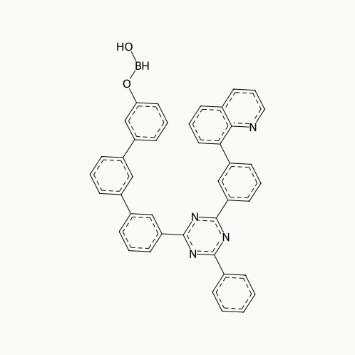 OBOc1cccc(-c2cccc(-c3cccc(-c4nc(-c5ccccc5)nc(-c5cccc(-c6cccc7cccnc67)c5)n4)c3)c2)c1